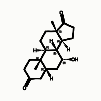 C[C@]12CCC(=O)C[C@H]1C[C@@H](O)[C@@H]1[C@@H]2CC[C@]2(C)C(=O)CC[C@@H]12